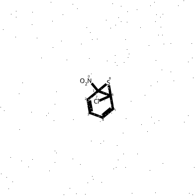 O=[N+]([O-])C12C=CC=CC1(Cl)S2